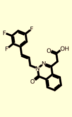 O=C(O)Cc1nn(CC=Cc2cc(F)cc(F)c2F)c(=O)c2ccccc12